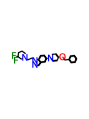 FC1(F)CCCN(CCn2ncc3cc(N4C=CC(OCc5ccccc5)=CC4)ccc32)C1